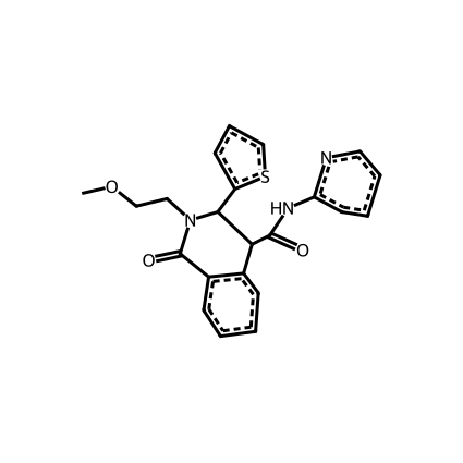 COCCN1C(=O)c2ccccc2C(C(=O)Nc2ccccn2)C1c1cccs1